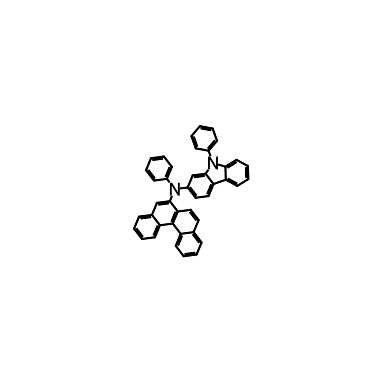 c1ccc(N(c2ccc3c4ccccc4n(-c4ccccc4)c3c2)c2cc3ccccc3c3c2ccc2ccccc23)cc1